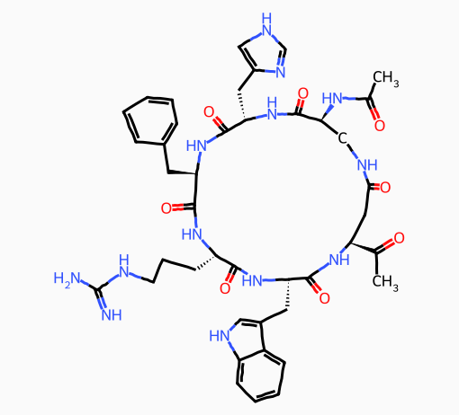 CC(=O)N[C@H]1CNC(=O)C[C@@H](C(C)=O)NC(=O)[C@H](Cc2c[nH]c3ccccc23)NC(=O)[C@H](CCCNC(=N)N)NC(=O)[C@@H](Cc2ccccc2)NC(=O)[C@H](Cc2c[nH]cn2)NC1=O